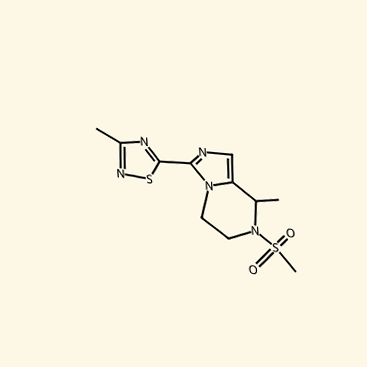 Cc1nsc(-c2ncc3n2CCN(S(C)(=O)=O)C3C)n1